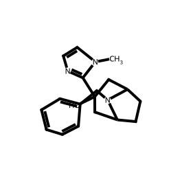 Cn1ccnc1C1(O)CC2CCC(C1)N2Cc1ccccc1